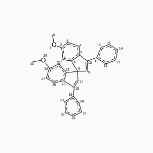 COc1ccc2c(c1)C1(C=C2c2ccccc2)C=C(c2ccccc2)c2ccc(OC)cc21